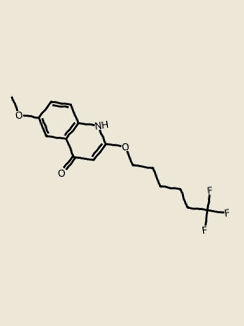 COc1ccc2[nH]c(OCCCCCC(F)(F)F)cc(=O)c2c1